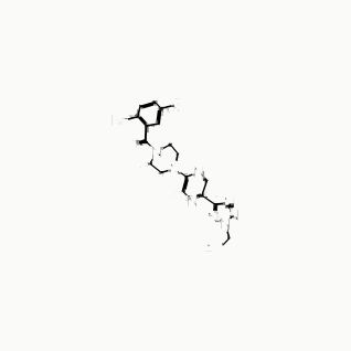 CC(=O)Cn1nnc(-c2cnc(N3CCN(C(=O)c4cc(F)ccc4Br)CC3)cn2)n1